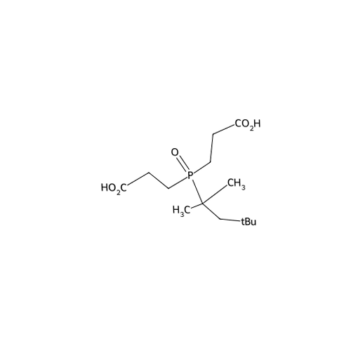 CC(C)(C)CC(C)(C)P(=O)(CCC(=O)O)CCC(=O)O